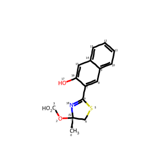 C[C@]1(OC(=O)O)CSC(c2cc3ccccc3cc2O)=N1